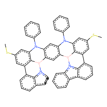 CSc1cc2c3c(c1)N(c1ccccc1)c1cc4c(cc1B3n1c3ccccc3c3cccc-2c31)B1c2c(cc(SC)cc2N4c2ccccc2)-c2cccc3c4ccccc4n1c23